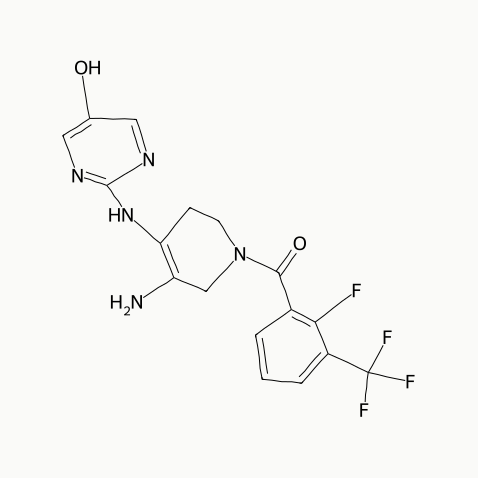 NC1=C(Nc2ncc(O)cn2)CCN(C(=O)c2cccc(C(F)(F)F)c2F)C1